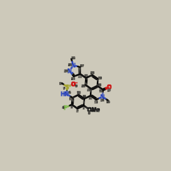 COc1cc(F)c(N[S+](C)[O-])cc1-c1cn(C)c(=O)c2ccc(-c3cnn(C)c3)cc12